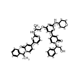 CC(c1ccccc1)n1ccc(-c2ccnc(N[C@@H](C)COc3cc(-c4ccn(C(CO)c5ccccc5)c(=O)c4)nc(NC4CCOCC4)n3)n2)cc1=O